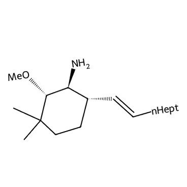 CCCCCCCC=C[C@@H]1CCC(C)(C)[C@H](OC)[C@H]1N